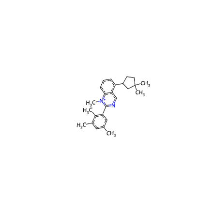 Cc1cc(C)c(C)c(-c2ncc3c(C4CCC(C)(C)C4)cccc3[n+]2C)c1